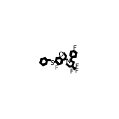 Fc1ccc(C2CC(C(F)(F)F)CCN2[C@@H]2CCOc3cc(SCc4ccccc4)c(F)cc32)cc1